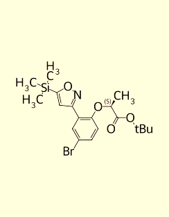 C[C@H](Oc1ccc(Br)cc1-c1cc([Si](C)(C)C)on1)C(=O)OC(C)(C)C